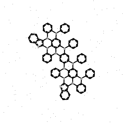 c1ccc(N2c3cc4c(cc3B3c5ccccc5N5c6sc7ccccc7c6B6c7ccccc7N(c7ccccc7)c7cc2c3c5c76)B2c3ccccc3N3c5sc6ccccc6c5B5c6ccccc6N(c6ccccc6)c6cc(c2c3c65)N4c2ccccc2)cc1